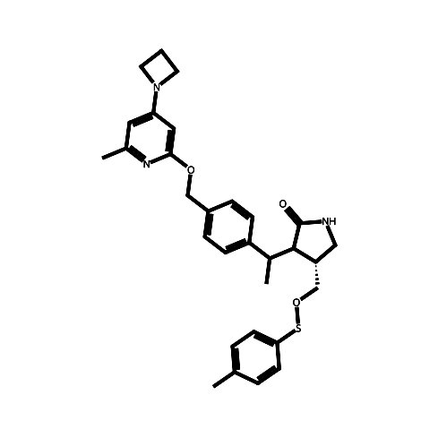 Cc1ccc(SOC[C@H]2CNC(=O)C2C(C)c2ccc(COc3cc(N4CCC4)cc(C)n3)cc2)cc1